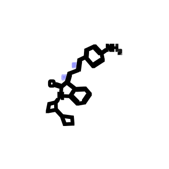 Nc1ccc(/C=C/C=C2/C(=O)N(C3CCC3C3CCC3)c3ccccc32)cc1